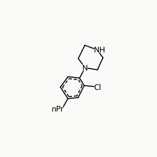 CCCc1ccc(N2CCNCC2)c(Cl)c1